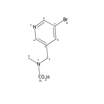 CN(Cc1cncc(Br)c1)C(=O)O